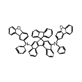 c1ccc(N(c2ccc3oc4ccccc4c3c2)c2cc3c(c4ccccc24)-c2c(cc(N(c4ccccc4)c4ccc5oc6ccccc6c5c4)c4ccccc24)C32c3ccccc3-c3ccccc32)cc1